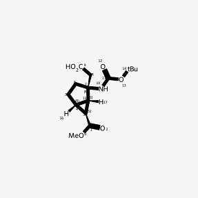 COC(=O)[C@H]1[C@@H]2CC[C@](CC(=O)O)(NC(=O)OC(C)(C)C)[C@@H]21